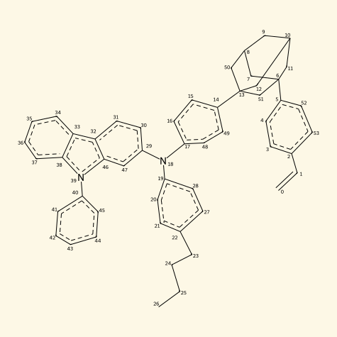 C=Cc1ccc(C23CC4CC(C2)CC(c2ccc(N(c5ccc(CCCC)cc5)c5ccc6c7ccccc7n(-c7ccccc7)c6c5)cc2)(C4)C3)cc1